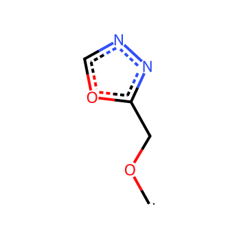 [CH2]OCc1nnco1